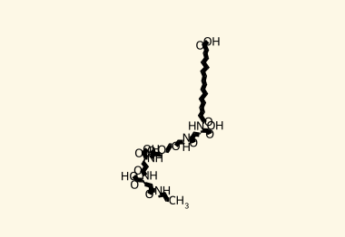 CCCCNC(=O)CC[C@H](NC(=O)CC[C@H](NC(=O)COCCOCCNC(=O)CC[C@H](NC(=O)CCCCCCCCCCCCCCCCC(=O)O)C(=O)O)C(=O)O)C(=O)O